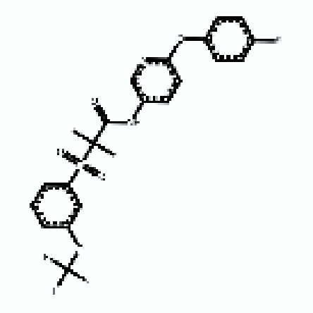 CC(C)(C(=O)Nc1ccc(Oc2ccc(F)cc2)nc1)S(=O)(=O)c1cccc(OC(F)(F)F)c1